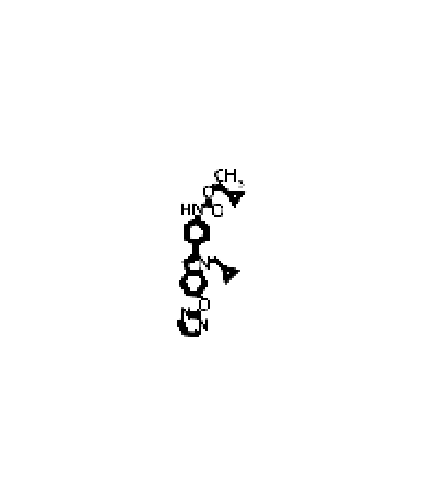 C[C@@H](OC(=O)Nc1ccc(-c2cc3ccc(Oc4ncccn4)cc3n2CC2CC2)cc1)C1CC1